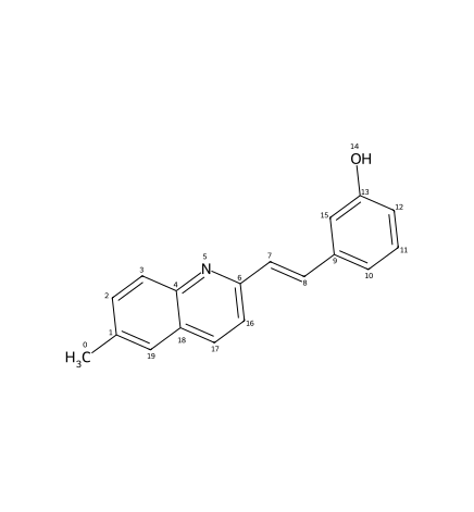 Cc1ccc2nc(C=Cc3cccc(O)c3)ccc2c1